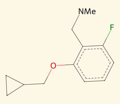 CNCc1c(F)cccc1OCC1CC1